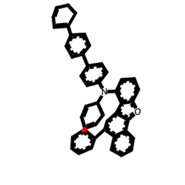 C1=CCCC(c2ccc(-c3ccc(N(c4cccc5oc6c7ccccc7c(-c7ccccc7)cc6c45)C4C=CC=CC4)cc3)cc2)=C1